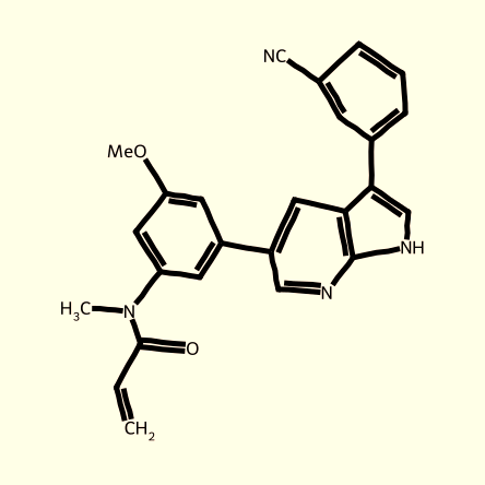 C=CC(=O)N(C)c1cc(OC)cc(-c2cnc3[nH]cc(-c4cccc(C#N)c4)c3c2)c1